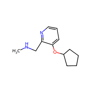 CNCc1ncccc1OC1CCCC1